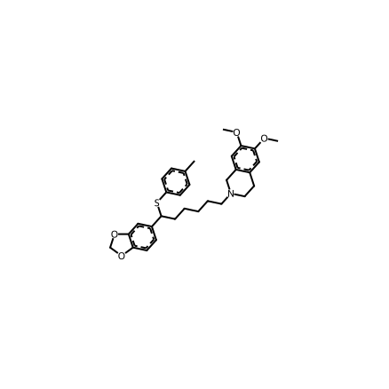 COc1cc2c(cc1OC)CN(CCCCCC(Sc1ccc(C)cc1)c1ccc3c(c1)OCO3)CC2